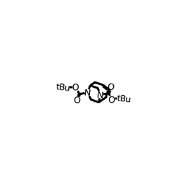 CC(C)(C)OC(=O)N1CC2C/C=C\CC1CN2C(=O)OC(C)(C)C